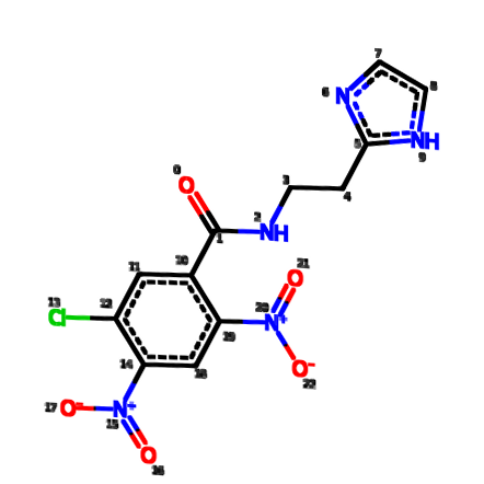 O=C(NCCc1ncc[nH]1)c1cc(Cl)c([N+](=O)[O-])cc1[N+](=O)[O-]